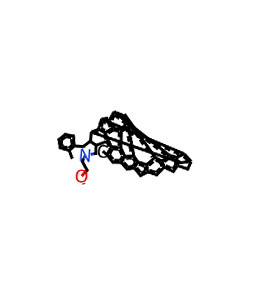 COCCN1CC23Cc4cc5cc6cc7cc8cc9c%10c%11c%12c(c%13c2c4c2c5c4c6c7c5c8c%10c6c%12c%13c2c4c56)=C(CC=%11C9)C3C1c1ccccc1C